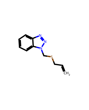 C=CCSCn1nnc2ccccc21